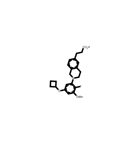 COc1cc(OC2CCC2)cc(N2CCc3cc(CCC(=O)O)ccc3C2)c1F